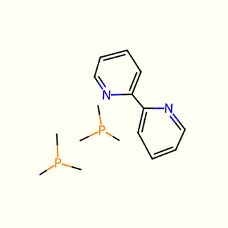 CP(C)C.CP(C)C.c1ccc(-c2ccccn2)nc1